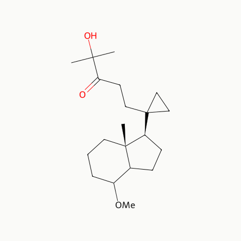 COC1CCC[C@@]2(C)C1CC[C@@H]2C1(CCC(=O)C(C)(C)O)CC1